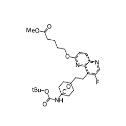 COC(=O)CCCCOc1ccc2ncc(F)c(CCC34CCC(NC(=O)OC(C)(C)C)(CC3)CO4)c2n1